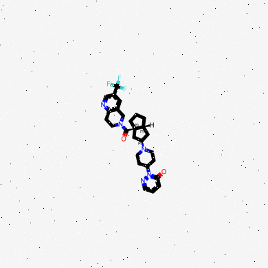 O=C(N1CCc2ncc(C(F)(F)F)cc2C1)[C@@]12CCC[C@@H]1C[C@@H](N1CCC(n3ncccc3=O)CC1)C2